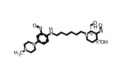 CN1CCN(c2ccc(NCCCCCCN3CC[C@@H](O)C(N=O)[C@H]3CO)c(N=O)c2)CC1